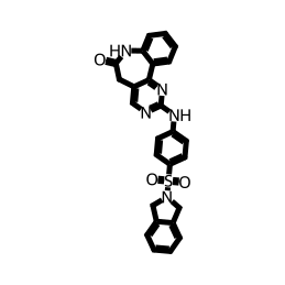 O=C1Cc2cnc(Nc3ccc(S(=O)(=O)N4Cc5ccccc5C4)cc3)nc2-c2ccccc2N1